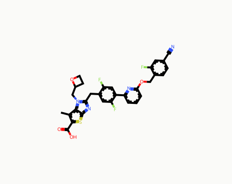 Cc1c(C(=O)O)sc2nc(Cc3cc(F)c(-c4cccc(OCc5ccc(C#N)cc5F)n4)cc3F)n(CC3CCO3)c12